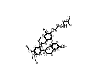 CCN(Cc1ccc(OCCNCC(C)C)c(F)c1)c1cc(OC)c(OC)cc1C1CCc2cc(O)ccc2C1